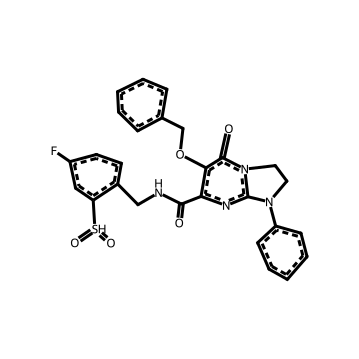 O=C(NCc1ccc(F)cc1[SH](=O)=O)c1nc2n(c(=O)c1OCc1ccccc1)CCN2c1ccccc1